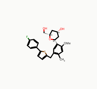 COc1cc(C)c(Cc2ccc(-c3ccc(F)cc3)s2)cc1[C@H]1C[C@@H](O)C[C@@H](CO)O1